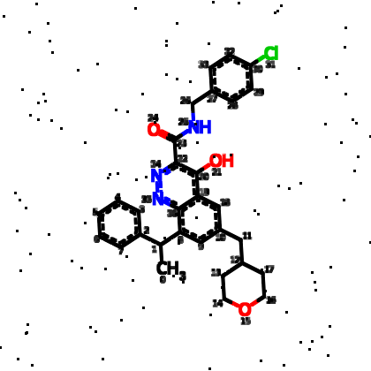 CC(c1ccccc1)c1cc(CC2CCOCC2)cc2c(O)c(C(=O)NCc3ccc(Cl)cc3)nnc12